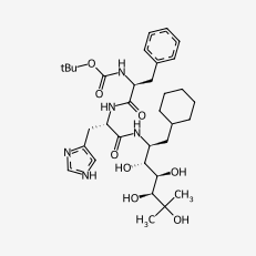 CC(C)(C)OC(=O)N[C@@H](Cc1ccccc1)C(=O)N[C@@H](Cc1c[nH]cn1)C(=O)N[C@@H](CC1CCCCC1)[C@@H](O)[C@@H](O)[C@H](O)C(C)(C)O